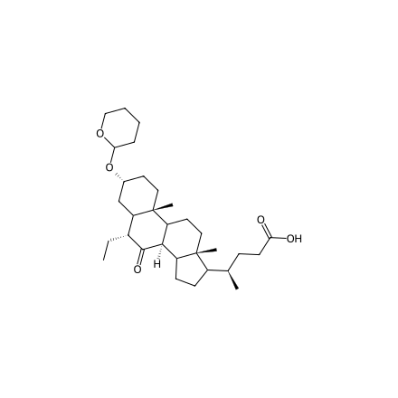 CC[C@H]1C(=O)[C@@H]2C3CCC([C@H](C)CCC(=O)O)[C@@]3(C)CCC2[C@@]2(C)CC[C@@H](OC3CCCCO3)CC12